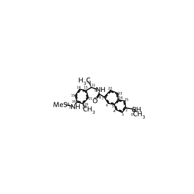 CBc1ccc2cc(C(=O)N[C@H](C)c3ccc(NSC)c(C)c3)ccc2c1